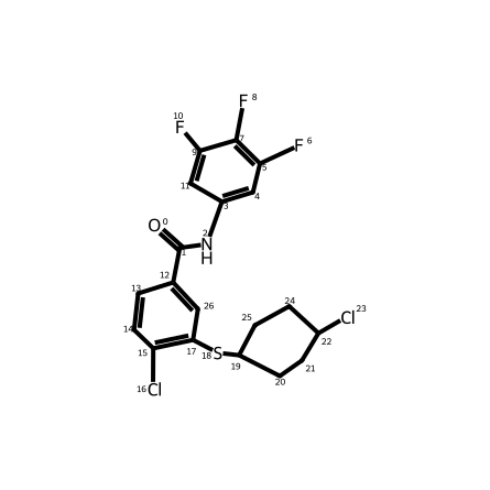 O=C(Nc1cc(F)c(F)c(F)c1)c1ccc(Cl)c(SC2CCC(Cl)CC2)c1